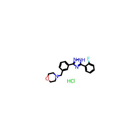 Cl.Fc1ccccc1-c1nc(-c2cccc(CN3CCOCC3)c2)n[nH]1